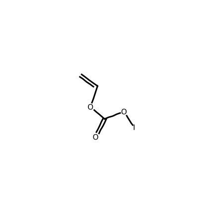 C=COC(=O)OI